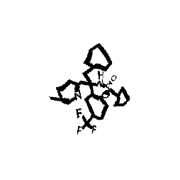 Cc1ccc(C(Cc2ccccc2)(NS(=O)(=O)C2=CCC=C2)c2cccc(C(F)(F)F)c2)nc1